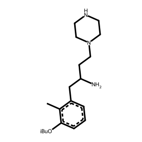 Cc1c(CC(N)CCN2CCNCC2)cccc1OCC(C)C